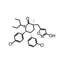 CCC(CC)N1C(=O)[C@@](C)(Cc2cc(O)no2)C[C@H](c2cccc(Cl)c2)[C@H]1c1ccc(Cl)cc1